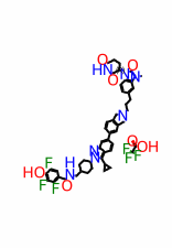 Cn1c(=O)n([C@@H]2CCC(=O)NC2=O)c2ccc(CCCN3Cc4ccc(-c5ccc6c(C7CC7)n(C7CCC(CNC(=O)c8cc(F)c(O)c(F)c8F)CC7)nc6c5)cc4C3)cc21.O=C(O)C(F)(F)F